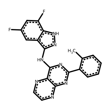 Cc1ccccc1-c1nc(Nc2n[nH]c3c(F)cc(F)cc23)c2nccnc2n1